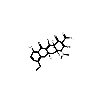 CCc1ccc(O)c2c1C[C@H]1C[C@H]3[C@@H](N(C)C)C(O)=C(C(N)=O)C(=O)[C@@]3(O)C(O)=C1C2=O